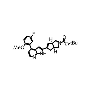 COc1ccc(F)cc1-c1ccnc2[nH]c(C3=C[C@H]4CN(C(=O)OC(C)(C)C)C[C@H]4C3)cc12